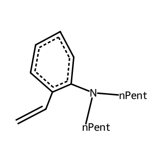 C=Cc1ccccc1N(CCCCC)CCCCC